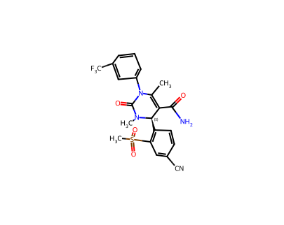 CC1=C(C(N)=O)[C@@H](c2ccc(C#N)cc2S(C)(=O)=O)N(C)C(=O)N1c1cccc(C(F)(F)F)c1